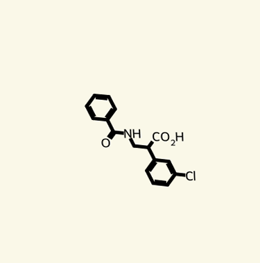 O=C(NCC(C(=O)O)c1cccc(Cl)c1)c1ccccc1